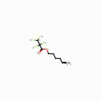 C=CCCCCOC(=O)C(F)(F)C(F)F